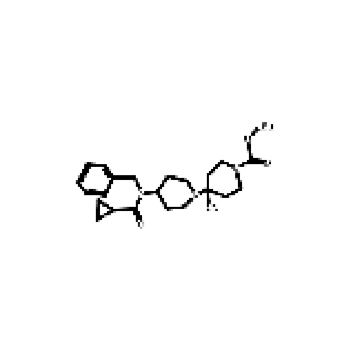 CC(C)(C)OC(=O)N1CCC(C#N)(N2CCC(N(Cc3ccccc3)C(=O)C3CC3)CC2)CC1